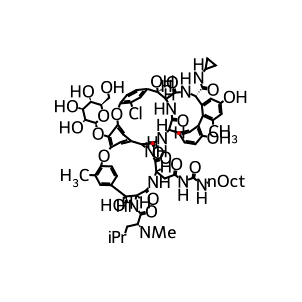 CCCCCCCCNC(=O)NC(=O)C[C@@H]1NC(=O)[C@H](NC(=O)[C@@H](CC(C)C)NC)[C@H](O)c2ccc(c(C)c2)Oc2cc3cc(c2O[C@@H]2O[C@H](CO)[C@@H](O)[C@H](O)[C@H]2O)Oc2ccc(cc2Cl)[C@@H](O)[C@@H]2NC(=O)[C@H](NC(=O)[C@@H]3NC1=O)c1ccc(O)c(c1)-c1c(C)cc(O)cc1[C@@H](C(=O)NC1CC1)NC2=O